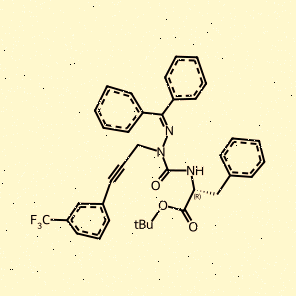 CC(C)(C)OC(=O)[C@@H](Cc1ccccc1)NC(=O)N(CC#Cc1cccc(C(F)(F)F)c1)N=C(c1ccccc1)c1ccccc1